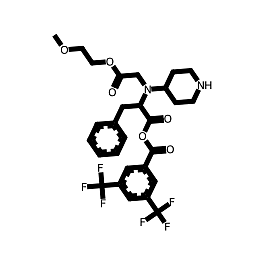 COCCOC(=O)CN(C1CCNCC1)C(Cc1ccccc1)C(=O)OC(=O)c1cc(C(F)(F)F)cc(C(F)(F)F)c1